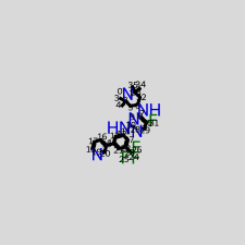 CN1C(C)(C)CC(Nc2nc(Nc3cc(-c4cccnc4)cc(C(F)(F)F)c3)ncc2F)CC1(C)C